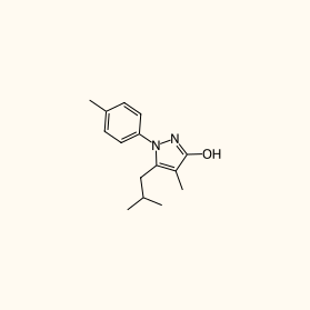 Cc1ccc(-n2nc(O)c(C)c2CC(C)C)cc1